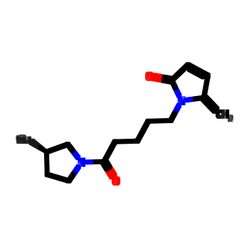 C=C1C=CC(=O)N1CCCCC(=O)N1CC[C@@H](C(C)(C)C)C1